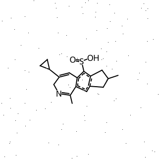 CC1=NCC(C2CC2)=Cc2c1cc1c(c2S(=O)O)CC(C)C1